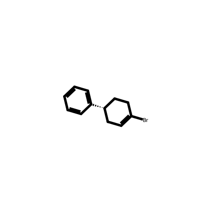 BrC1=CC[C@H](c2ccccc2)CC1